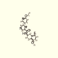 CCOc1ccc(-c2cncc(C(=O)N[C@@H]3CCc4c(OC)ccc(F)c4C3)n2)cn1